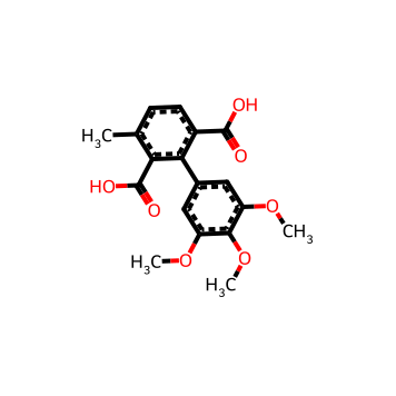 COc1cc(-c2c(C(=O)O)ccc(C)c2C(=O)O)cc(OC)c1OC